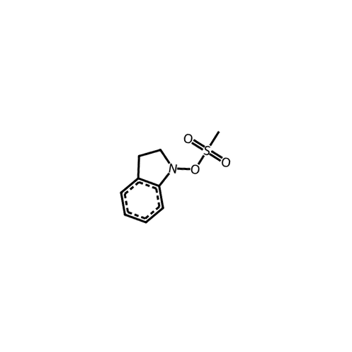 CS(=O)(=O)ON1CCc2ccccc21